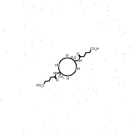 C[C@]1(NC(=O)CCCC(=O)O)CNCCNC[C@](C)(NC(=O)CCCC(=O)O)CNCCNC1